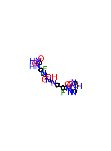 O=C1CCC(Nc2ccc(N3CCC(O)(C(=O)N4CC5(C4)CN(c4ccc(-c6cc(F)c7c(c6)C(=O)N(C(C(=O)Nc6nccs6)c6ncn8c6CCC8)C7)cc4)C5)CC3)c(F)c2)C(=O)N1